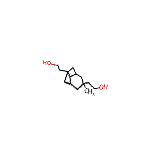 CC1(CCO)CC2CC3(CCO)CC(C1)C23